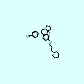 Nc1ccc([C@@H]2CN3CCC[C@@H]3c3cc(OCCCN4CCCCC4)ccc32)cc1